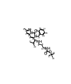 Cc1cc2cc([C@H](NCCCNC(=O)OC(C)(C)C)C(C)C)n(Cc3ccccc3)c(=O)n2n1